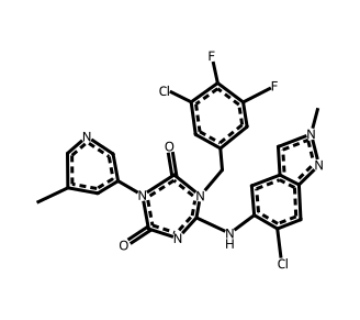 Cc1cncc(-n2c(=O)nc(Nc3cc4cn(C)nc4cc3Cl)n(Cc3cc(F)c(F)c(Cl)c3)c2=O)c1